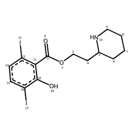 O=C(OCCC1CCCCN1)c1c(I)ccc(I)c1O